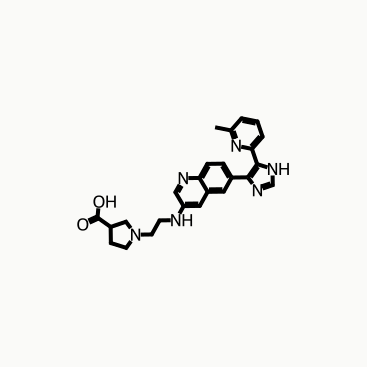 Cc1cccc(-c2[nH]cnc2-c2ccc3ncc(NCCN4CCC(C(=O)O)C4)cc3c2)n1